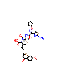 COc1ccc2c(=O)cc(SC=CC3=C(C(=O)O)N4C(=O)C(NC(=O)C(=NOC5CCCC5)c5csc(N)n5)[C@@H]4SC3)sc2c1